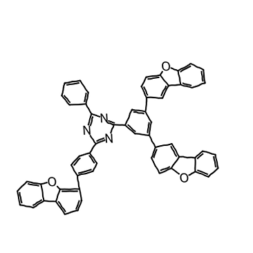 c1ccc(-c2nc(-c3ccc(-c4cccc5c4oc4ccccc45)cc3)nc(-c3cc(-c4ccc5oc6ccccc6c5c4)cc(-c4ccc5oc6ccccc6c5c4)c3)n2)cc1